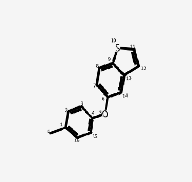 Cc1ccc(Oc2ccc3sccc3c2)cc1